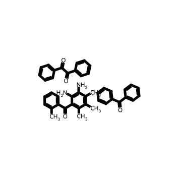 Cc1ccccc1C(=O)c1c(C)c(C)c(C)c(N)c1N.O=C(C(=O)c1ccccc1)c1ccccc1.O=C(c1ccccc1)c1ccccc1